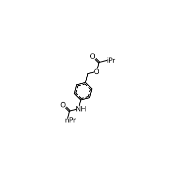 CCCC(=O)Nc1ccc(COC(=O)C(C)C)cc1